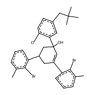 Cc1cccc(C2=CC(O)(c3cc(CC(C)(C)C)ccc3Cl)CC(c3cccc(C)c3Br)C2)c1Br